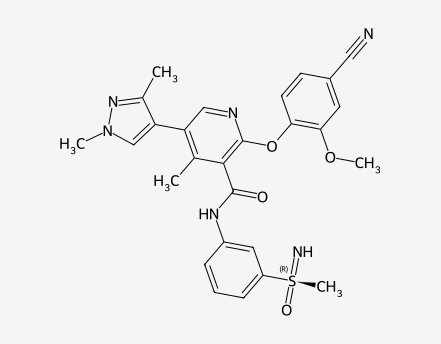 COc1cc(C#N)ccc1Oc1ncc(-c2cn(C)nc2C)c(C)c1C(=O)Nc1cccc([S@](C)(=N)=O)c1